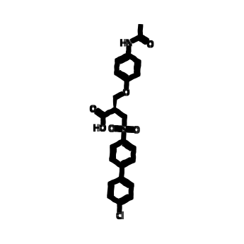 CC(=O)Nc1ccc(OC[C@@H](CS(=O)(=O)c2ccc(-c3ccc(Cl)cc3)cc2)C(=O)O)cc1